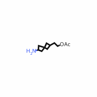 CC(=O)OCCC1CC2(CC(N)C2)C1